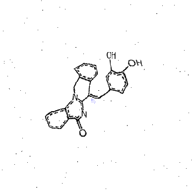 O=c1nc2n(c3ccccc13)Cc1ccccc1/C2=C\c1ccc(O)c(O)c1